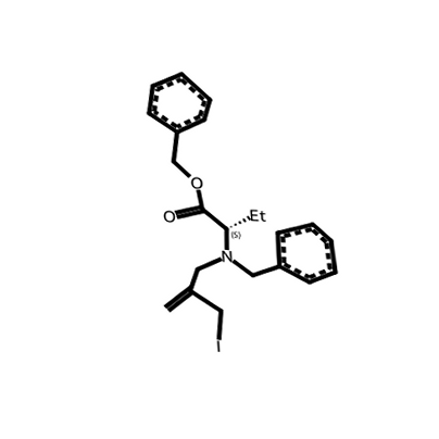 C=C(CI)CN(Cc1ccccc1)[C@@H](CC)C(=O)OCc1ccccc1